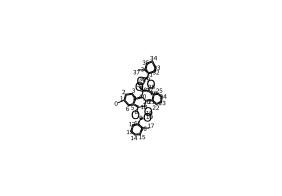 Cc1ccc2c(c1)=C(OC(=O)c1ccccc1C)C(=O)C1=c3ccccc3=C(OC(=O)c3ccccc3C)C(=O)C=21